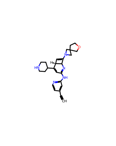 C#Cc1ccnc(NC2=NC3C(N4CC5(CCOC5)C4)=C[C@H]3C(C3CCNCC3)=C2)c1